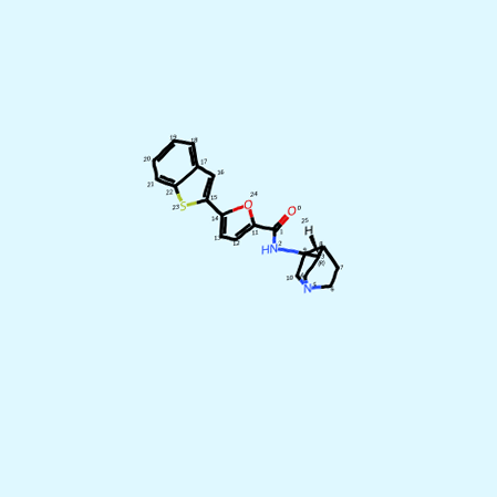 O=C(N[C@H]1CN2CCC1CC2)c1ccc(-c2cc3ccccc3s2)o1